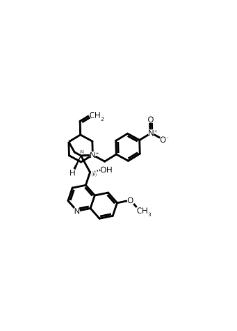 C=CC1C[N+]2(Cc3ccc([N+](=O)[O-])cc3)CCC1C[C@H]2[C@H](O)c1ccnc2ccc(OC)cc12